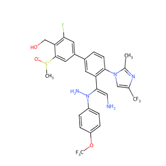 Cc1nc(C(F)(F)F)cn1-c1ccc(-c2cc(F)c(CO)c([S+](C)[O-])c2)cc1/C(=C/N)N(N)c1ccc(OC(F)(F)F)cc1